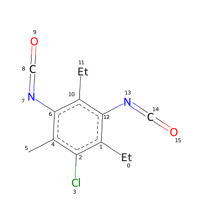 CCc1c(Cl)c(C)c(N=C=O)c(CC)c1N=C=O